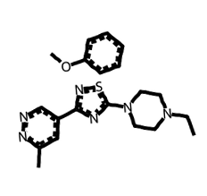 CCN1CCN(c2nc(-c3cnnc(C)c3)ns2)CC1.COc1ccccc1